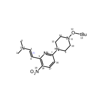 CN(C)/C=C/c1nc(N2CCN(OC(C)(C)C)CC2)ccc1[N+](=O)[O-]